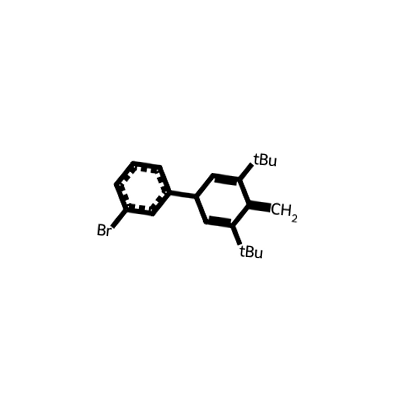 C=C1C(C(C)(C)C)=CC(c2cccc(Br)c2)C=C1C(C)(C)C